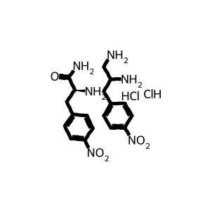 Cl.Cl.NC(=O)[C@@H](N)Cc1ccc([N+](=O)[O-])cc1.NCC(N)Cc1ccc([N+](=O)[O-])cc1